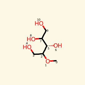 COC(CO)[C@@H](O)C(O)CO